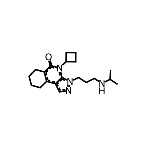 CC(C)NCCCn1ncc2c3c(c(=O)n(C4CCC4)c21)CCCC3